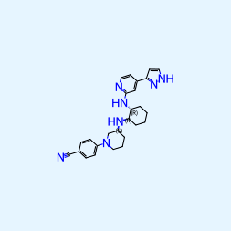 N#Cc1ccc(N2CCC[C@H](N[C@@H]3CCCC[C@H]3Nc3cc(-c4cc[nH]n4)ccn3)C2)cc1